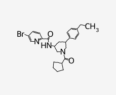 CCc1ccc(C2CC(NC(=O)c3ccc(Br)cn3)CN(C(=O)C3CCCC3)C2)cc1